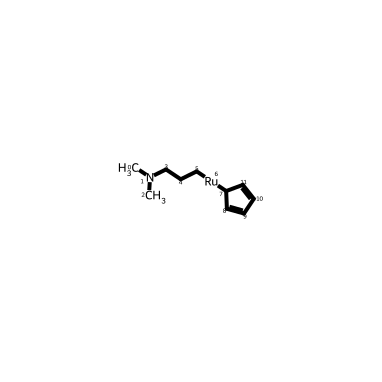 CN(C)CC[CH2][Ru][CH]1C=CC=C1